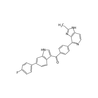 Cc1nc2c(-c3ccc(C(=O)c4c[nH]c5cc(-c6ccc(F)cc6)ccc45)cc3)nccc2[nH]1